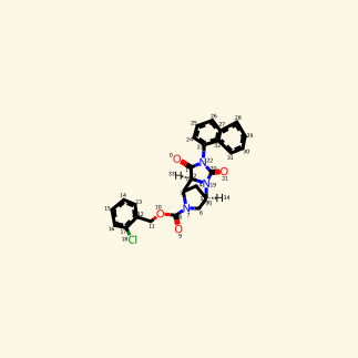 O=C1[C@@H]2C3C[C@H](CN3C(=O)OCc3ccccc3Cl)N2C(=O)N1c1cccc2ccccc12